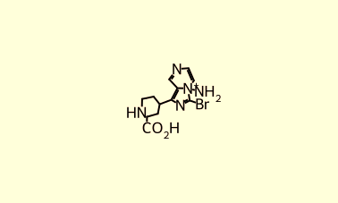 N[N+]12C=CN=CC1=C(C1CCNC(C(=O)O)C1)N=C2Br